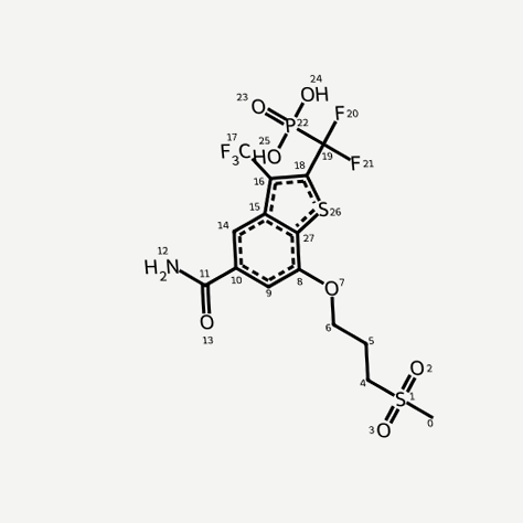 CS(=O)(=O)CCCOc1cc(C(N)=O)cc2c(C(F)(F)F)c(C(F)(F)P(=O)(O)O)sc12